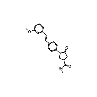 CNC(=O)C1CC(=O)N(c2ccc(/C=C/c3cccc(OC)c3)cc2)C1